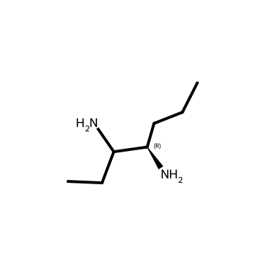 CCC[C@@H](N)C(N)CC